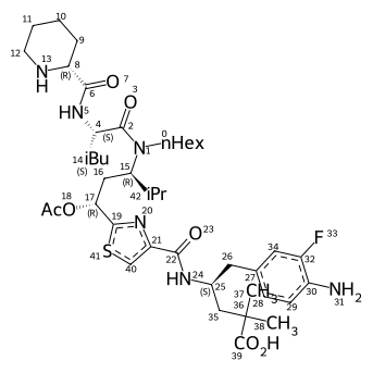 CCCCCCN(C(=O)[C@@H](NC(=O)[C@H]1CCCCN1)[C@@H](C)CC)[C@H](C[C@@H](OC(C)=O)c1nc(C(=O)N[C@@H](Cc2ccc(N)c(F)c2)CC(C)(C)C(=O)O)cs1)C(C)C